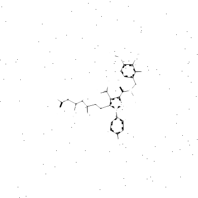 COc1ccc(CN(C)C(=O)c2nn(-c3ccc(F)cc3)c(CCC(O)CC(O)CC(=O)O)c2C(C)C)c(F)c1F